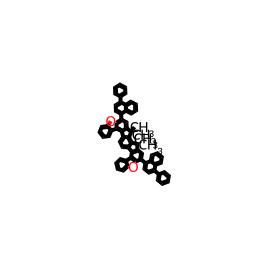 CC1(C)c2cc(-c3ccc(-c4ccccc4)c4ccccc34)c3oc4ccccc4c3c2-c2ccc3c(c21)C(C)(C)c1cc(-c2ccc(-c4ccccc4)c4ccccc24)c2oc4ccccc4c2c1-3